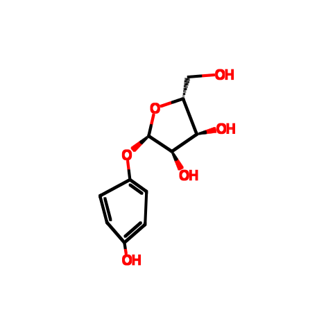 OC[C@H]1O[C@H](Oc2ccc(O)cc2)[C@H](O)[C@@H]1O